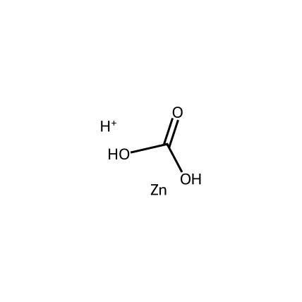 O=C(O)O.[H+].[Zn]